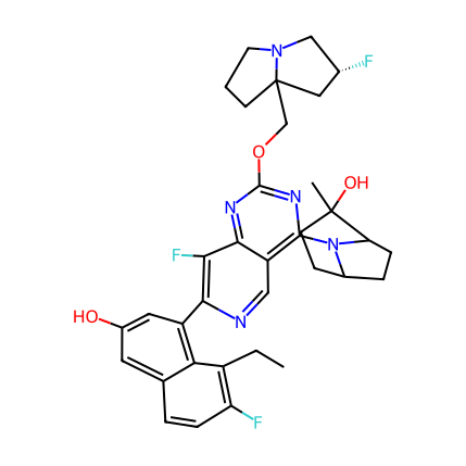 CCc1c(F)ccc2cc(O)cc(-c3ncc4c(N5C6CCC5C(C)(O)CC6)nc(OCC56CCCN5C[C@H](F)C6)nc4c3F)c12